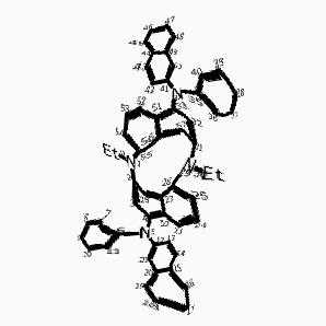 CCn1c2cc(N(c3ccccc3)c3ccc4ccccc4c3)c3cccc(c3c2)n(CC)c2cc(N(c3ccccc3)c3ccc4ccccc4c3)c3cccc1c3c2